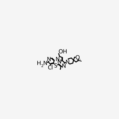 Cc1nc(N2CCC3(CC2)CO[C@@H](C)C3)c2cc(CO)nn2c1Sc1ccnc(N)c1Cl